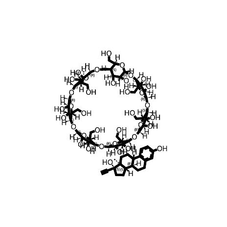 C#C[C@]1(O)CC[C@H]2[C@@H]3CCc4cc(O)ccc4[C@H]3CC[C@@]21C.OC[C@H]1O[C@@H]2O[C@H]3[C@H](O)[C@@H](O)[C@@H](O[C@H]4[C@H](O)[C@@H](O)[C@@H](O[C@H]5[C@H](O)[C@@H](O)[C@@H](O[C@H]6[C@H](O)[C@@H](O)[C@@H](O[C@H]7[C@H](O)[C@@H](O)[C@@H](O[C@H]8[C@H](O)[C@@H](O)[C@@H](O[C@H]1[C@H](O)[C@H]2O)O[C@@H]8CO)O[C@@H]7CO)O[C@@H]6CO)O[C@@H]5CO)O[C@@H]4CO)O[C@@H]3CO